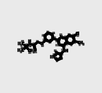 Cc1cc2c(Nc3cc[nH]n3)nc(-c3cccc(OCC(=O)NC(C)(C)C)c3)nc2cc1Cl